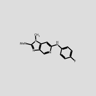 CNc1nc2cnc(Nc3ccc(F)cc3)cc2n1C